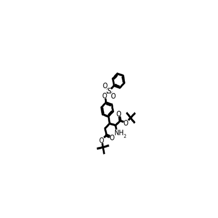 CC(C)(C)OC(=O)CC(c1ccc(OS(=O)(=O)c2ccccc2)cc1)C(N)C(=O)OC(C)(C)C